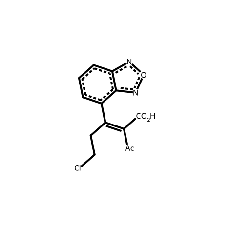 CC(=O)C(C(=O)O)=C(CCCl)c1cccc2nonc12